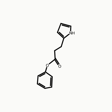 O=C(CCc1ccc[nH]1)Oc1ccccc1